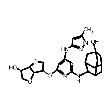 Cc1cc(Nc2cc(O[C@@H]3COC4C3OC[C@H]4O)nc(NC3C4CC5CC3CC(O)(C5)C4)n2)n[nH]1